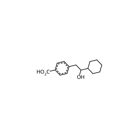 O=C(O)c1ccc(CC(O)C2CCCCC2)cc1